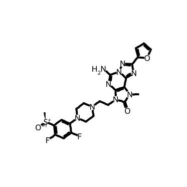 Cn1c(=O)n(CCN2CCN(c3cc([S@+](C)[O-])c(F)cc3F)CC2)c2nc(N)n3nc(-c4ccco4)nc3c21